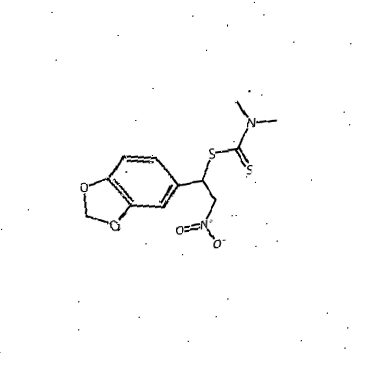 CN(C)C(=S)SC(C[N+](=O)[O-])c1ccc2c(c1)OCO2